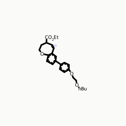 CCCCOCCOc1ccc(-c2ccc3c(c2)/C=C\C(C(=O)OCC)CCO3)cc1